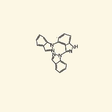 [c]1ccc2[nH]nc(-n3ncc4ccccc43)c2c1-n1ncc2ccccc21